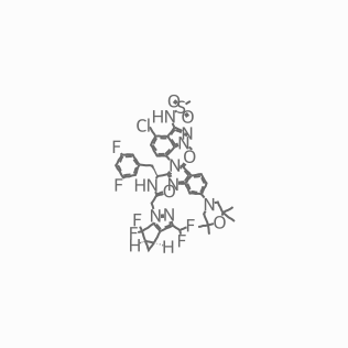 Cn1nc(NS(C)(=O)=O)c2c(Cl)ccc(-n3c([C@H](Cc4cc(F)cc(F)c4)NC(=O)Cn4nc(C(F)F)c5c4C(F)(F)[C@@H]4C[C@H]54)nc4cc(N5CC(C)(C)OC(C)(C)C5)ccc4c3=O)c21